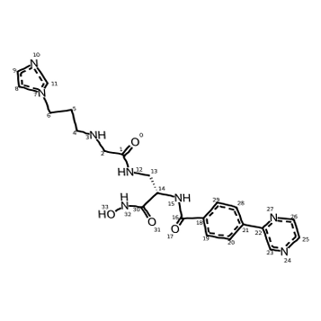 O=C(CNCCCn1ccnc1)NC[C@H](NC(=O)c1ccc(-c2cnccn2)cc1)C(=O)NO